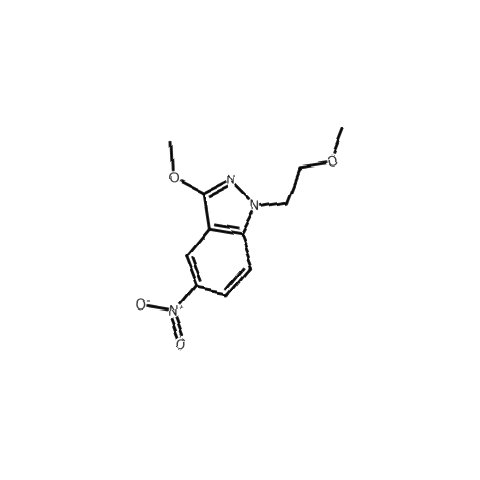 COCCn1nc(OC)c2cc([N+](=O)[O-])ccc21